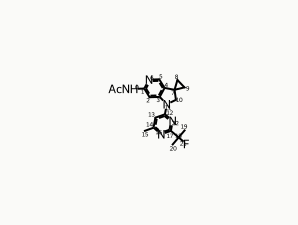 CC(=O)Nc1cc2c(cn1)C1(CC1)CN2c1cc(C)nc(C(C)(C)F)n1